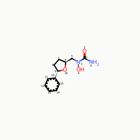 NC(=O)N(O)C[C@@H]1CC[C@@H](c2ccccc2)O1